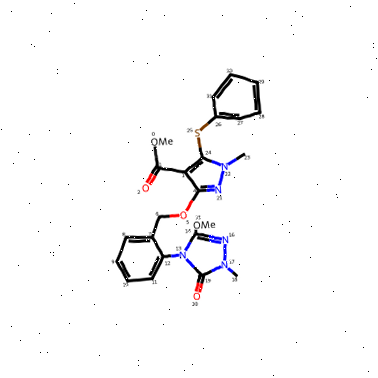 COC(=O)c1c(OCc2ccccc2-n2c(OC)nn(C)c2=O)nn(C)c1Sc1ccccc1